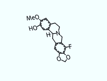 COc1cc2c(cc1O)[C@@H]1Cc3cc4c(c(F)c3CN1CC2)OCO4